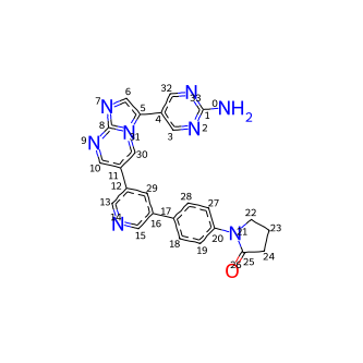 Nc1ncc(-c2cnc3ncc(-c4cncc(-c5ccc(N6CCCC6=O)cc5)c4)cn23)cn1